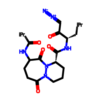 CC(C)C[C@H](NC(=O)[C@@H]1CCCN2C(=O)CCC(NC(=O)C(C)C)C(=O)N12)C(=O)C=[N+]=[N-]